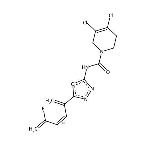 C=C(F)/C=C\C(=C)c1nnc(NC(=O)N2CCC(Cl)=C(Cl)C2)o1